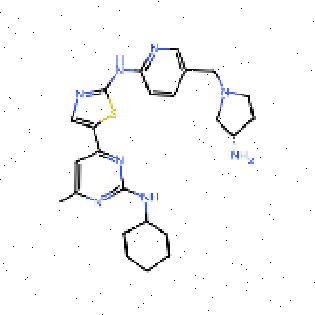 Cc1cc(-c2cnc(Nc3ccc(CN4CC[C@H](N)C4)cn3)s2)nc(NC2CCCCC2)n1